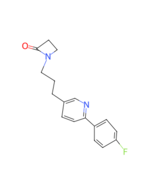 O=C1CCN1CCCc1ccc(-c2ccc(F)cc2)nc1